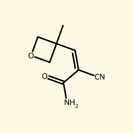 CC1(C=C(C#N)C(N)=O)COC1